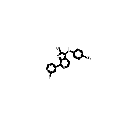 Nc1oc2c(-c3ccnc(F)c3)nccc2c1Nc1ccc(C(F)(F)F)cc1